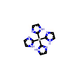 c1c[nH]c([Si](c2ncc[nH]2)(c2ncc[nH]2)c2ncc[nH]2)n1